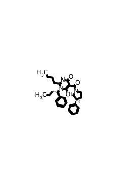 CCCCc1nc(=O)c(C(=O)N2CC[C@@H](c3ccccc3)C2)c(O)n1[C@@H](CCC)c1ccccc1